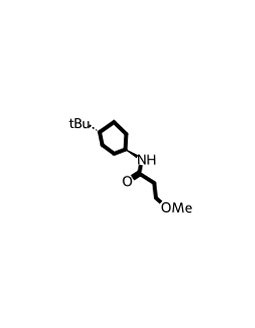 COCCC(=O)N[C@H]1CC[C@H](C(C)(C)C)CC1